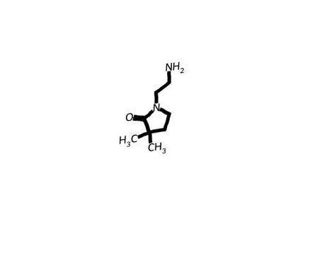 CC1(C)CCN(CCN)C1=O